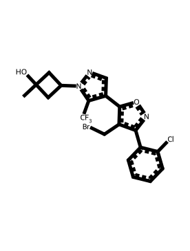 CC1(O)CC(n2ncc(-c3onc(-c4ccccc4Cl)c3CBr)c2C(F)(F)F)C1